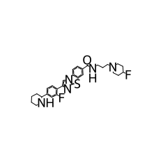 O=C(NCCCN1CCC(F)CC1)c1ccc2c(c1)sc1nc(-c3ccc(C4CCCCN4)cc3F)cn12